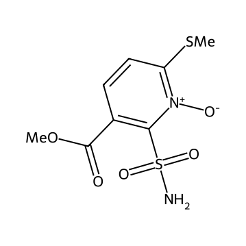 COC(=O)c1ccc(SC)[n+]([O-])c1S(N)(=O)=O